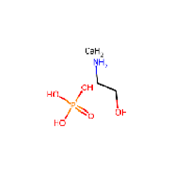 NCCO.O=P(O)(O)O.[CaH2]